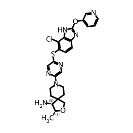 C[C@@H]1OCC2(CCN(c3cnc(Sc4ccc5nc(Oc6cccnc6)[nH]c5c4Cl)cn3)CC2)[C@@H]1N